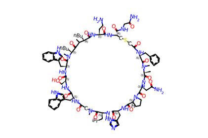 CCCC[C@H]1C(=O)N[C@@H](CCN)C(=O)N[C@H](C(=O)NCC(N)=O)CSCC(=O)N[C@@H](Cc2ccccc2)C(=O)N(C)[C@@H](C)C(=O)N[C@@H](CC(N)=O)C(=O)N2CCC[C@H]2C(=O)N[C@@H](Cc2cnc[nH]2)C(=O)N[C@@H](CC(C)C)C(=O)N(C)CC(=O)N[C@@H](Cc2c[nH]c3ccccc23)C(=O)N[C@@H](CO)C(=O)N[C@@H](Cc2c[nH]c3ccccc23)C(=O)N(C)[C@@H](CCCC)C(=O)C1C